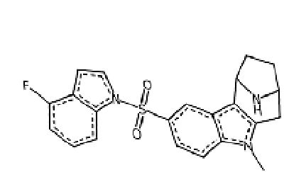 Cn1c2c(c3cc(S(=O)(=O)n4ccc5c(F)cccc54)ccc31)C1CCC(C2)N1